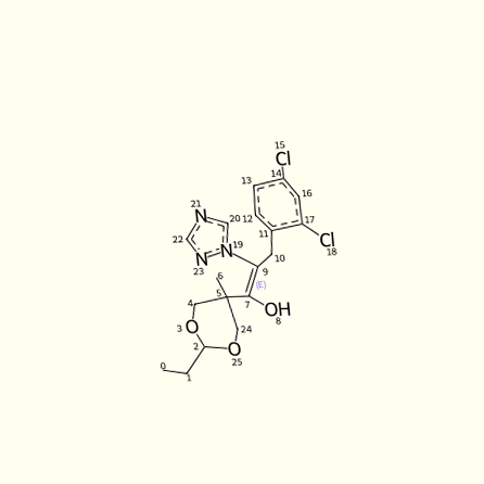 CCC1OCC(C)(/C(O)=C(/Cc2ccc(Cl)cc2Cl)n2cncn2)CO1